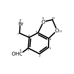 O=Cc1ccc2c(c1CBr)OCO2